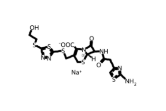 Nc1nc(CC(=O)NC2C(=O)N3C(C(=O)[O-])=C(CSc4nnc(SCCO)s4)CS[C@@H]23)cs1.[Na+]